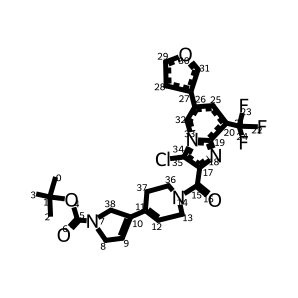 CC(C)(C)OC(=O)N1CC=C(C2=CCN(C(=O)c3nc4c(C(F)(F)F)cc(-c5ccoc5)cn4c3Cl)CC2)C1